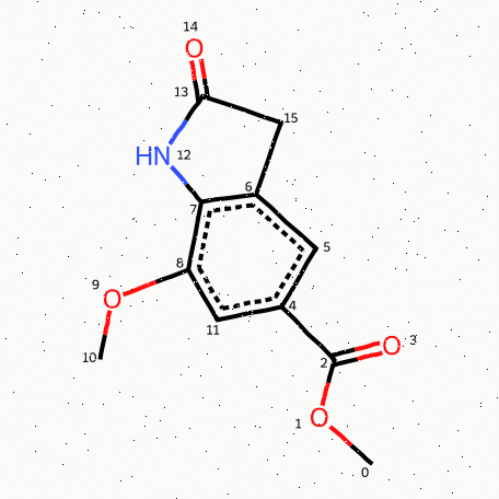 COC(=O)c1cc2c(c(OC)c1)NC(=O)C2